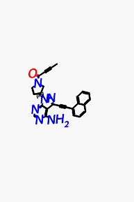 CC#CC(=O)N1CC[C@@H](n2nc(C#Cc3cccc4ccccc34)c3c(N)ncnc32)C1